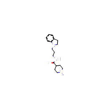 CN1CCC(C(=O)NCCCN2CCc3ccccc32)CC1